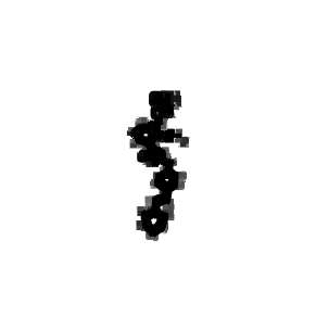 Nc1c(-c2cc(Cc3ccc(C=CC4CCCCC4)cc3)no2)ccc[n+]1COP(=O)([O-])O